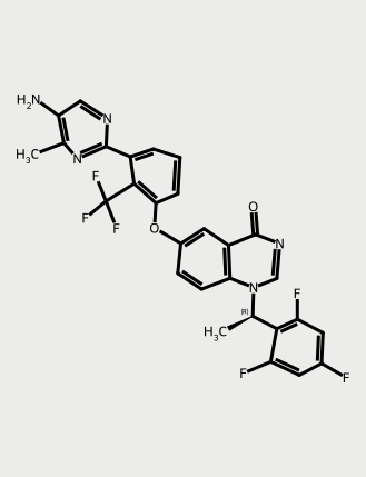 Cc1nc(-c2cccc(Oc3ccc4c(c3)c(=O)ncn4[C@H](C)c3c(F)cc(F)cc3F)c2C(F)(F)F)ncc1N